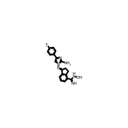 N=C(NO)c1cccc2c1CCC2=Nn1cc(-c2ccc(F)cc2)nc1N